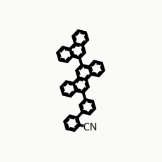 N#Cc1ccccc1-c1cccc(-c2cc3c4ccccc4c(-c4cc5ccccc5c5ccccc45)cc3c3ccccc23)c1